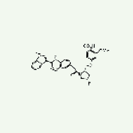 COc1cc(OC[C@@H]2C[C@H](F)CN2C(=O)Cc2ccc(NC(=O)c3cn(C)c4ccccc34)c(Cl)c2)ccc1C(=O)O